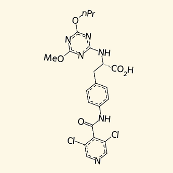 CCCOc1nc(N[C@@H](Cc2ccc(NC(=O)c3c(Cl)cncc3Cl)cc2)C(=O)O)nc(OC)n1